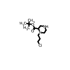 CC(C)(C)OC(=O)C1CNCCN1CCCCl